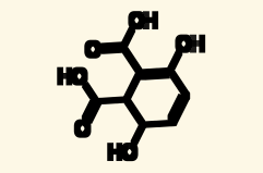 O=C(O)C1=C(O)C=CC(O)C1C(=O)O